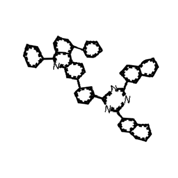 c1ccc(-c2nc3cc(-c4cccc(-c5nc(-c6ccc7ccccc7c6)nc(-c6ccc7ccccc7c6)n5)c4)ccc3c3c(-c4ccccc4)cccc23)cc1